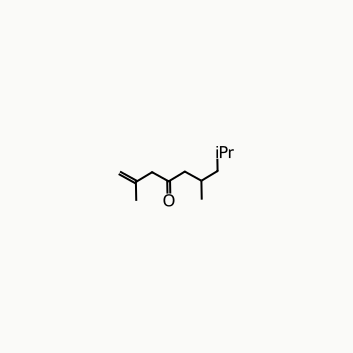 C=C(C)CC(=O)CC(C)CC(C)C